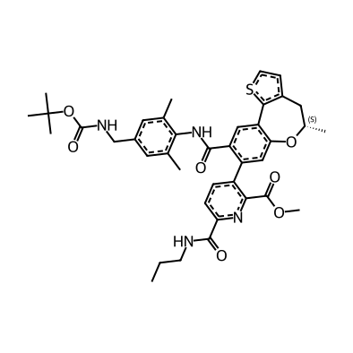 CCCNC(=O)c1ccc(-c2cc3c(cc2C(=O)Nc2c(C)cc(CNC(=O)OC(C)(C)C)cc2C)-c2sccc2C[C@H](C)O3)c(C(=O)OC)n1